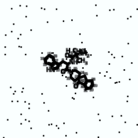 CC(C)(N)C(=O)NC(Cc1c[nH]c2ccccc12)C(=O)N1CCC2(CC1)Cc1ccccc1C2=O.Cl